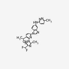 Cc1ccc(Nc2ccc3c(c2)ncn3-c2ccc(C(C)O)c(-n3nc(C(F)F)nc3C)n2)nn1